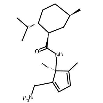 CC1=CC=C(CN)[C@@]1(C)NC(=O)[C@@H]1C[C@H](C)CC[C@H]1C(C)C